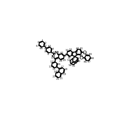 c1ccc(-c2ccc(-c3nc(-c4cccc(-c5cccc6ccccc56)c4)c4ccc(-c5ccc6c(c5)C5(c7c-6ccc6c7Oc7ccccc7O6)C6CC7CC(C6)CC5C7)cc4n3)cc2)cc1